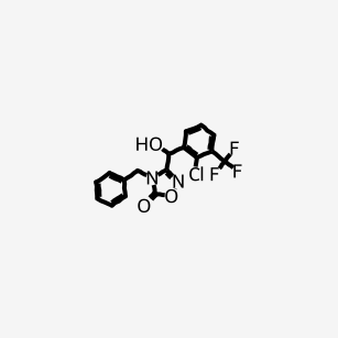 O=c1onc(C(O)c2cccc(C(F)(F)F)c2Cl)n1Cc1ccccc1